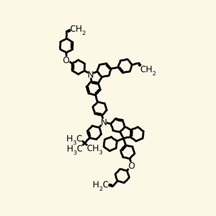 C=CC1C=CC(OC2=CCC(N3c4ccc(C5CC=C(N(C6C=CC7C8=C(CCCC8)C(C8=CCC(OC9CCC(C=C)CC9)CC8)(C8CCCCC8)C7C6)C6CC=C(C(C)(C)C)CC6)CC5)cc4C4CC(C5=CCC(C=C)CC5)=CCC43)CC2)CC1